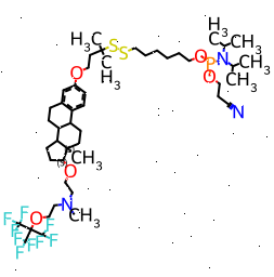 CC(C)N(C(C)C)P(OCCC#N)OCCCCCCSSC(C)(C)CCOc1ccc2c(c1)CCC1C2CC[C@@]2(C)C1CC[C@@H]2OCCN(C)CCOC(C(F)(F)F)(C(F)(F)F)C(F)(F)F